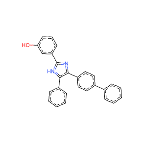 Oc1cccc(-c2nc(-c3ccc(-c4ccccc4)cc3)c(-c3ccccc3)[nH]2)c1